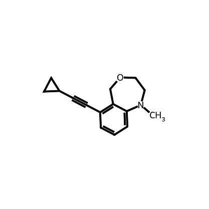 CN1CCOCc2c(C#CC3CC3)cccc21